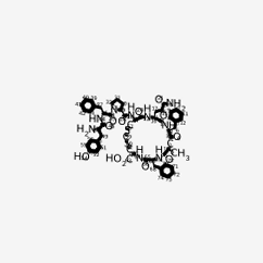 C[C@@H]1CC(=O)[C@H](Cc2ccccc2)NC(=O)[C@H](CCC(N)=O)NC(=O)[C@H](NC(=O)[C@@H]2CCCN2C(=O)[C@H](Cc2ccccc2)NC(=O)[C@@H](N)Cc2ccc(O)cc2)CSCSC[C@@H](C(=O)O)NC(=O)[C@H](Cc2ccccc2)NC1=O